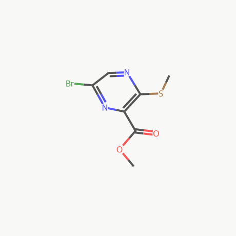 COC(=O)c1nc(Br)cnc1SC